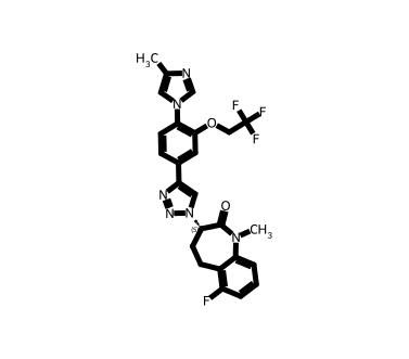 Cc1cn(-c2ccc(-c3cn([C@H]4CCc5c(F)cccc5N(C)C4=O)nn3)cc2OCC(F)(F)F)cn1